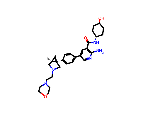 Nc1ncc(-c2ccc([C@@]34C[C@@H]3CN(CCN3CCOCC3)C4)cc2)cc1C(=O)N[C@H]1CC[C@H](O)CC1